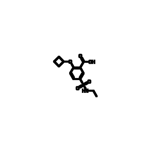 CCNS(=O)(=O)c1ccc(OC2CCC2)c(C(=O)O)c1